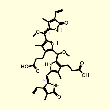 C=CC1=C(C)/C(=C(\OC)c2[nH]c(C(OC)c3[nH]c(/C=C4\NC(=O)C(C)=C4C=C)c(C)c3CCC(=O)O)c(CCC(=O)O)c2C)NC1=O